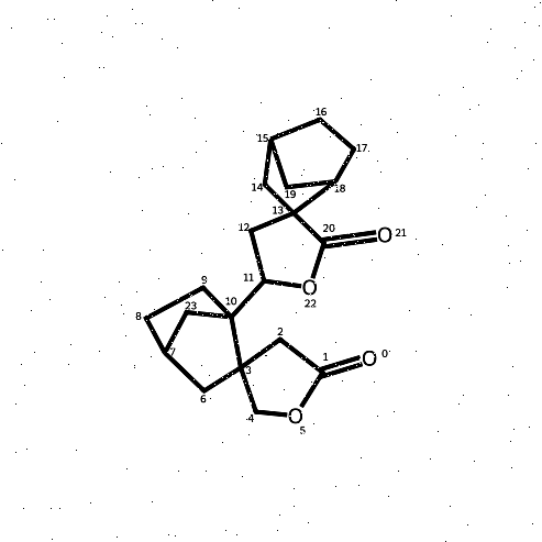 O=C1CC2(CO1)CC1CCC2(C2CC3(CC4CCC3C4)C(=O)O2)C1